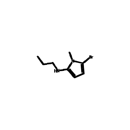 CCCNc1ccc(Br)n1C